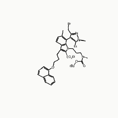 CCOC(=O)c1c(CCCOc2cccc3ccccc23)c2ccc(C)c(-c3c(CBr)nn(C)c3CC)c2n1CCCN(C)C(=O)OC(C)(C)C